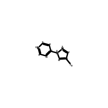 Ic1cnn(-c2ccncc2)c1